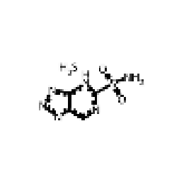 NS(=O)(=O)c1ncc2nnnc-2[nH]1.S